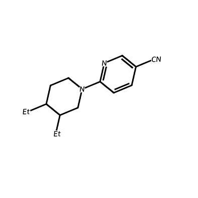 CCC1CCN(c2ccc(C#N)cn2)CC1CC